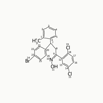 Cc1ccccc1C(CC(=NO)c1cc(Cl)ccc1Cl)c1ccc(Br)cc1